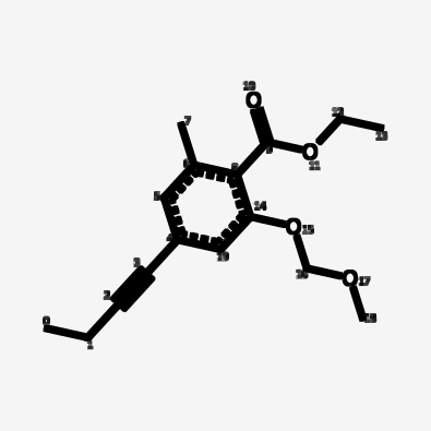 CCC#Cc1cc(C)c(C(=O)OCC)c(OCOC)c1